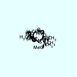 CCn1c(-c2cccnc2[C@H](C)OC)c2c3cc(ccc31)C1CSC(=N1)[C@@H](OCCN(C)CCOC)[C@H](NC(=O)[C@H]1[C@H](C)[C@@H]1C)C(=O)N1CCC[C@H](N1)C(=O)OCC(C)(C)C2